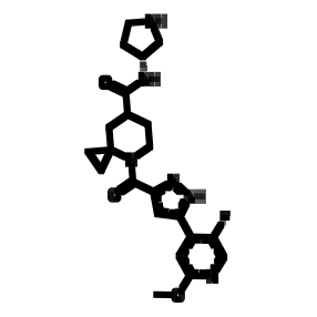 COc1cc(-c2cc(C(=O)N3CCC(C(=O)N[C@@H]4CCNC4)CC34CC4)n[nH]2)c(F)cn1